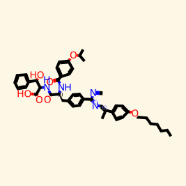 C=N/C(=N\C=C(/C)c1ccc(OCCCCCCC)cc1)c1ccc(C[C@H](NC(=O)c2ccc(OC(C)C)cc2)C(=O)NC(C(=O)O)C(O)c2ccccc2)cc1